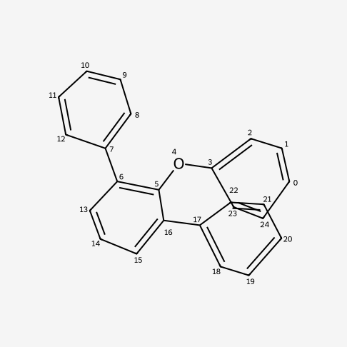 c1ccc(Oc2c(-c3ccccc3)cccc2-c2ccccc2)cc1